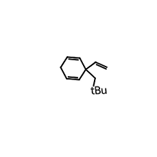 C=CC1(CC(C)(C)C)C=CCC=C1